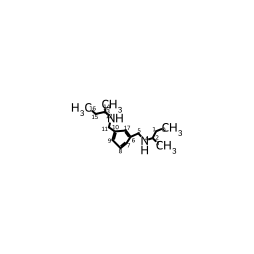 CCC(C)NCc1cccc(CNC(C)CC)c1